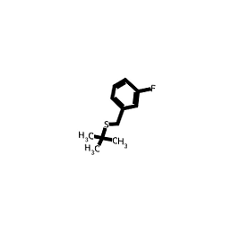 CC(C)(C)SCc1cccc(F)c1